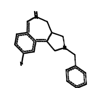 Fc1ccc2c(c1)=C1CN(Cc3ccccc3)CC1CNC=2